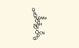 COc1nc(Nc2nccc(-c3ccc(OC4CCOC4)c(C#N)c3)n2)ccc1N1CCN(C2COC2)CC1